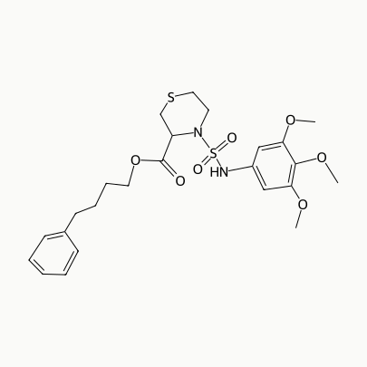 COc1cc(NS(=O)(=O)N2CCSCC2C(=O)OCCCCc2ccccc2)cc(OC)c1OC